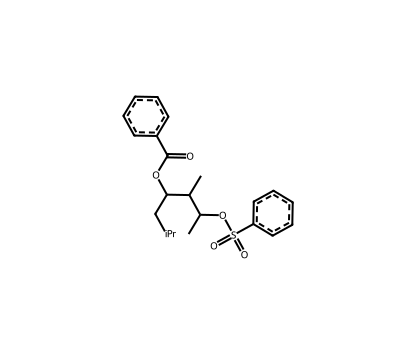 CC(C)CC(OC(=O)c1ccccc1)C(C)C(C)OS(=O)(=O)c1ccccc1